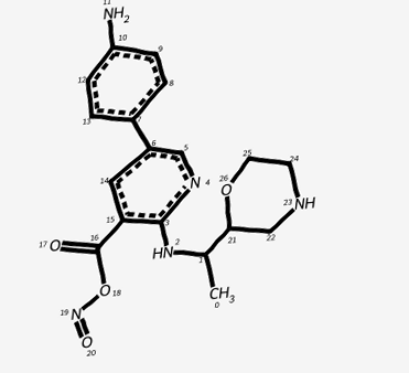 CC(Nc1ncc(-c2ccc(N)cc2)cc1C(=O)ON=O)C1CNCCO1